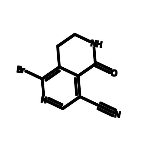 N#Cc1cnc(Br)c2c1C(=O)NCC2